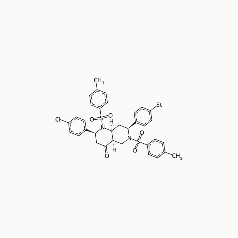 CCc1ccc([C@@H]2C[C@H]3[C@@H](CN2S(=O)(=O)c2ccc(C)cc2)C(=O)C[C@@H](c2ccc(Cl)cc2)N3S(=O)(=O)c2ccc(C)cc2)cc1